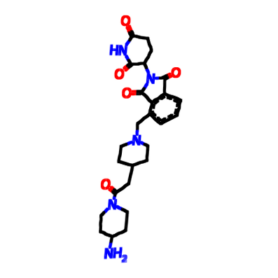 NC1CCN(C(=O)CC2CCN(Cc3cccc4c3C(=O)N(C3CCC(=O)NC3=O)C4=O)CC2)CC1